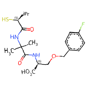 CC(C)[C@H](S)C(=O)NC(C)(C)C(=O)N[C@@H](COCc1ccc(F)cc1)C(=O)O